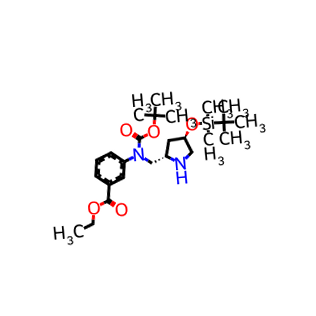 CCOC(=O)c1cccc(N(C[C@@H]2C[C@@H](O[Si](C)(C)C(C)(C)C)CN2)C(=O)OC(C)(C)C)c1